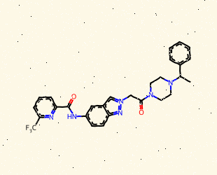 CC(c1ccccc1)N1CCN(C(=O)Cn2cc3cc(NC(=O)c4cccc(C(F)(F)F)n4)ccc3n2)CC1